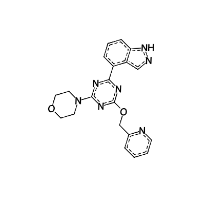 c1ccc(COc2nc(-c3cccc4[nH]ncc34)nc(N3CCOCC3)n2)nc1